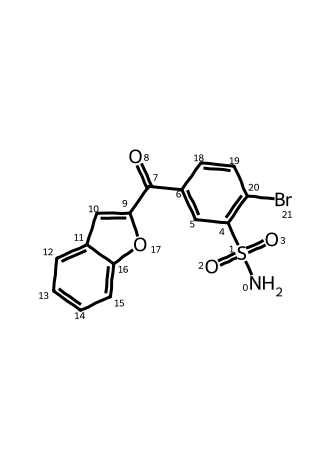 NS(=O)(=O)c1cc(C(=O)c2cc3ccccc3o2)ccc1Br